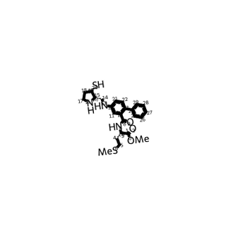 COC(=O)[C@H](CCSC)NC(=O)c1cc(NC[C@@H]2NCC[C@@H]2S)ccc1-c1ccccc1